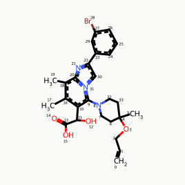 C=CCOC1(C)CCN(c2c(C(O)C(=O)O)c(C)c(C)c3nc(-c4cccc(Br)c4)cn23)CC1